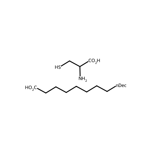 CCCCCCCCCCCCCCCCCC(=O)O.NC(CS)C(=O)O